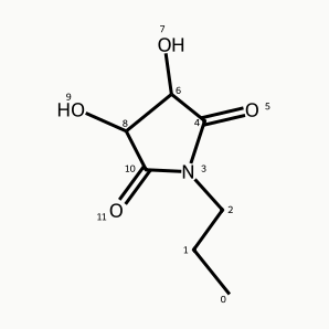 CCCN1C(=O)C(O)C(O)C1=O